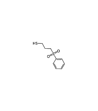 O=S(=O)(CCCS)c1ccccc1